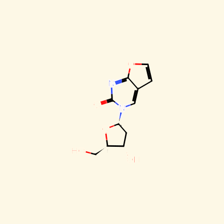 O=c1nc2occc2cn1[C@H]1C[C@H](O)[C@@H](CO)O1